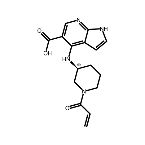 C=CC(=O)N1CCC[C@H](Nc2c(C(=O)O)cnc3[nH]ccc23)C1